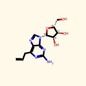 C=CCc1nc(N)nc2c1ncn2[C@@H]1O[C@H](CO)[C@@H](O)[C@H]1O